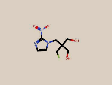 O=[N+]([O-])c1nccn1CC(CO)(CO)CF